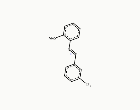 CSc1ccccc1/N=C/c1cccc(C(F)(F)F)c1